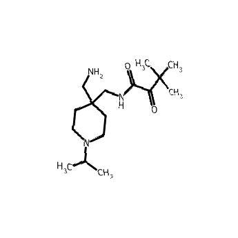 CC(C)N1CCC(CN)(CNC(=O)C(=O)C(C)(C)C)CC1